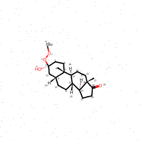 CC(C)(C)OO[C@@]1(O)CC[C@@]2(C)[C@H](CC[C@@H]3[C@@H]2CC[C@]2(C)C(=O)CC[C@@H]32)C1